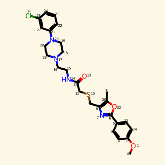 COc1ccc(-c2nc(CSCC(=O)NCCN3CCN(c4cccc(Cl)c4)CC3)c(C)o2)cc1